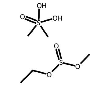 CCOS(=O)OC.CS(C)(=O)(O)O